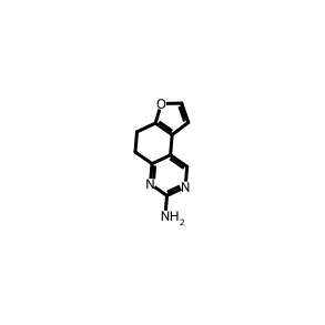 Nc1ncc2c(n1)CCc1occc1-2